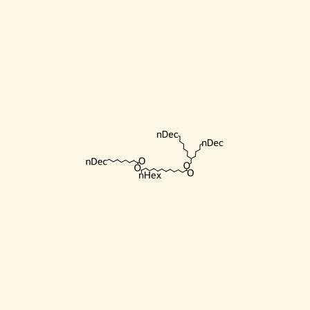 CCCCCCCCCCCCCCCCCC(=O)OC(CCCCCC)CCCCCCCCCCC(=O)OCC(CCCCCCCCCCCCCC)CCCCCCCCCCCCCCCC